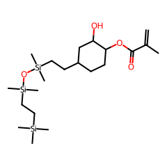 C=C(C)C(=O)OC1CCC(CC[Si](C)(C)O[Si](C)(C)CC[Si](C)(C)C)CC1O